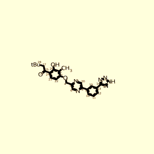 Cc1c(OCc2cnc(-c3cccc(-c4nn[nH]n4)c3)cn2)ccc(C(=O)CC(C)(C)C)c1O